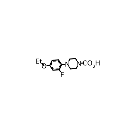 CCOc1ccc(N2CCN(C(=O)O)CC2)c(F)c1